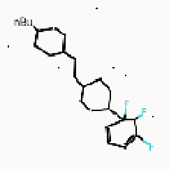 CCCCC1CCC(CCC2CCC(C3(F)C=CC=C(F)C3F)CC2)CC1